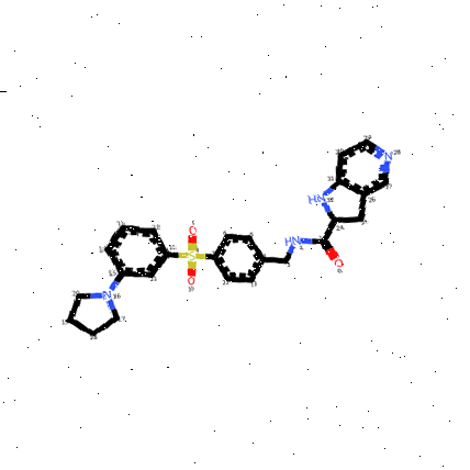 O=C(NCc1ccc(S(=O)(=O)c2cccc(N3CCCC3)c2)cc1)C1Cc2cnccc2N1